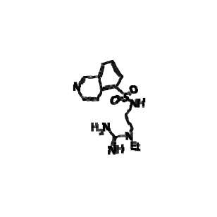 CCN(CCNS(=O)(=O)c1cccc2cnccc12)C(=N)N